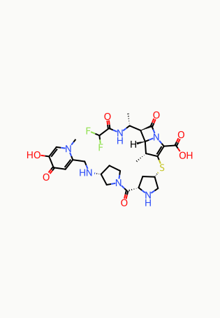 C[C@@H](NC(=O)C(F)F)[C@H]1C(=O)N2C(C(=O)O)=C(S[C@@H]3CN[C@H](C(=O)N4CC[C@@H](NCc5cc(=O)c(O)cn5C)C4)C3)[C@H](C)[C@H]12